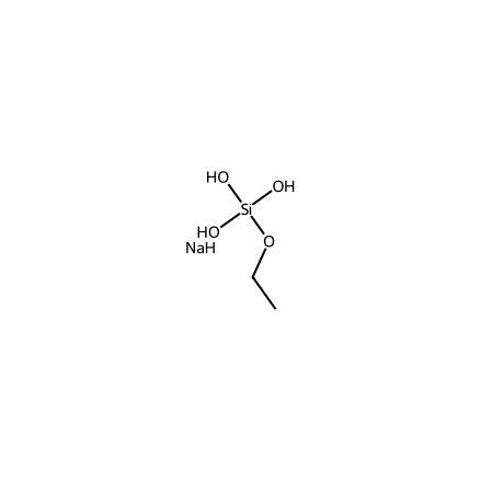 CCO[Si](O)(O)O.[NaH]